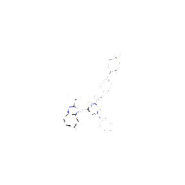 FC(F)c1nc2ccccc2n1-c1cc(N2CCOCC2)nc(NCC2CCN(C3CCC(F)(F)CC3)CC2)n1